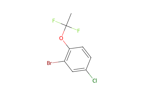 CC(F)(F)Oc1ccc(Cl)cc1Br